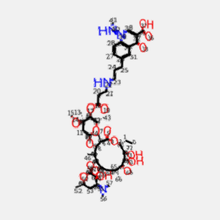 CC[C@H]1OC(=O)[C@H](C)[C@@H](O[C@H]2C[C@@](C)(OC)[C@@H](OC(=O)CCNCCCc3ccc4c(c3)c(=O)c(C(=O)O)cn4NC)[C@H](C)O2)[C@H](C)[C@@H](O[C@@H]2O[C@H](C)C[C@H](N(C)C)[C@H]2O)[C@](C)(OC)C[C@@H](C)C(=O)[C@@H](O)[C@]1(C)O